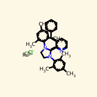 Cc1cc(C)c(N2CCN(c3c(C)cc(C)cc3C)C2=c2ncccc2=Cc2ccccc2)c(C)c1.[Cl-].[Cl-].[Ru+2]